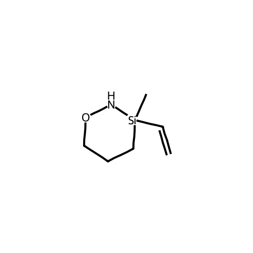 C=C[Si]1(C)CCCON1